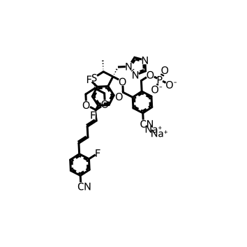 C[C@@H](S[C@H]1CO[C@H](/C=C/C=C/c2ccc(C#N)cc2F)OC1)[C@@](Cn1cncn1)(OC(=O)c1cc(C#N)ccc1COP(=O)([O-])[O-])c1ccc(F)cc1F.[Na+].[Na+]